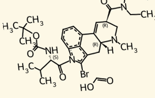 CCN(CC)C(=O)[C@@H]1C=C2c3cccc4c3c(c(Br)n4C(=O)[C@@H](NC(=O)OC(C)(C)C)C(C)C)C[C@H]2N(C)C1.O=CO